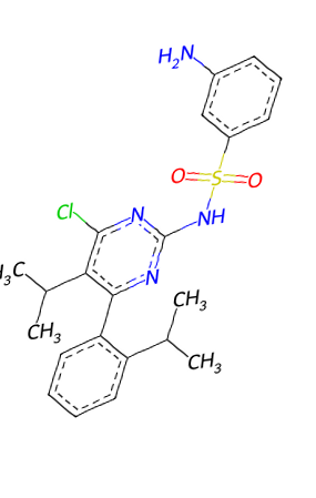 CC(C)c1ccccc1-c1nc(NS(=O)(=O)c2cccc(N)c2)nc(Cl)c1C(C)C